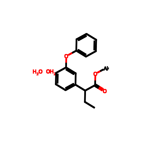 CCC(C(=O)[O][Al])c1cccc(Oc2ccccc2)c1.O.O